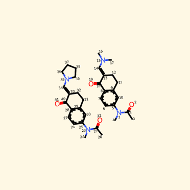 CC(=O)N(C)c1ccc2c(c1)CCC(=CN(C)C)C2=O.CC(=O)N(C)c1ccc2c(c1)CCC(=CN1CCCC1)C2=O